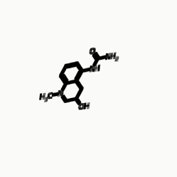 CN1CC(O)Cc2c(NC(N)=O)cccc21